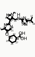 Cc1nc(-c2cnn(C)c2CNc2nc(C(C)C)ns2)ncc1O[C@H]1CCC[C@H](C(O)O)C1